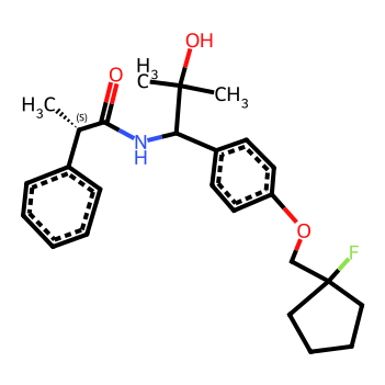 C[C@H](C(=O)NC(c1ccc(OCC2(F)CCCC2)cc1)C(C)(C)O)c1ccccc1